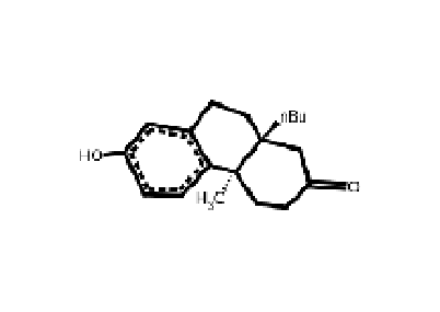 CCCC[C@]12CCc3cc(O)ccc3[C@]1(C)CCC(=O)C2